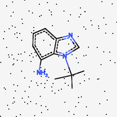 CC(C)(C)n1cnc2cccc(N)c21